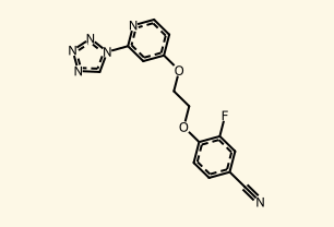 N#Cc1ccc(OCCOc2ccnc(-n3cnnn3)c2)c(F)c1